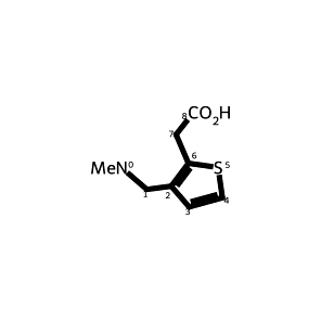 CNCc1ccsc1CC(=O)O